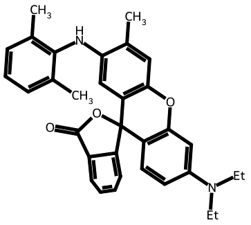 CCN(CC)c1ccc2c(c1)Oc1cc(C)c(Nc3c(C)cccc3C)cc1C21OC(=O)c2ccccc21